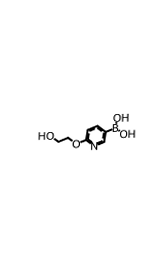 OCCOc1ccc(B(O)O)cn1